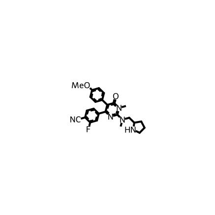 COc1ccc(-c2c(-c3ccc(C#N)c(F)c3)nc(N(C)CC3CCCN3)n(C)c2=O)cc1